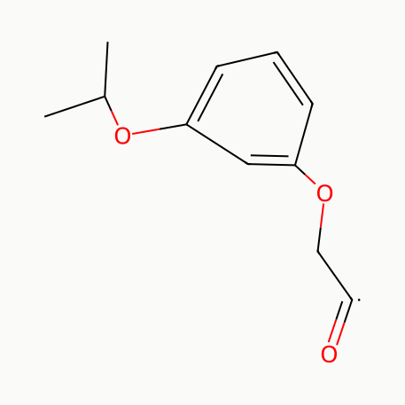 CC(C)Oc1cccc(OC[C]=O)c1